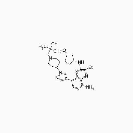 CCc1nc2c(N)ncc(-c3cnn(C4CCN(CC(C)(C)O)CC4)c3)c2nc1N[C@@H]1CC[C@H](O)C1